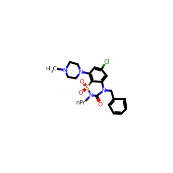 CCCN1C(=O)N(Cc2ccccc2)c2cc(Cl)cc(N3CCN(C)CC3)c2S1(=O)=O